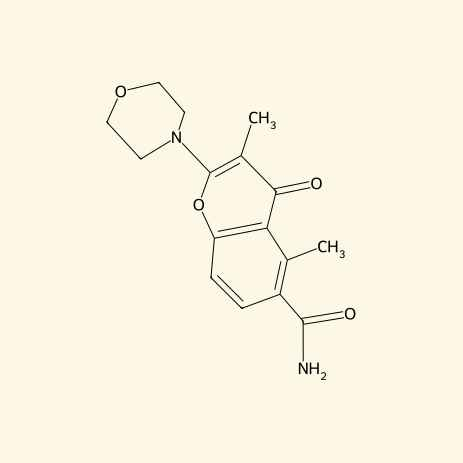 Cc1c(N2CCOCC2)oc2ccc(C(N)=O)c(C)c2c1=O